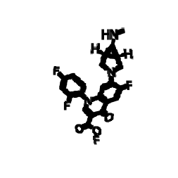 CN[C@H]1[C@@H]2CN(c3cc4c(cc3F)c(=O)c(C(=O)OF)cn4-c3ccc(F)cc3F)C[C@@H]21